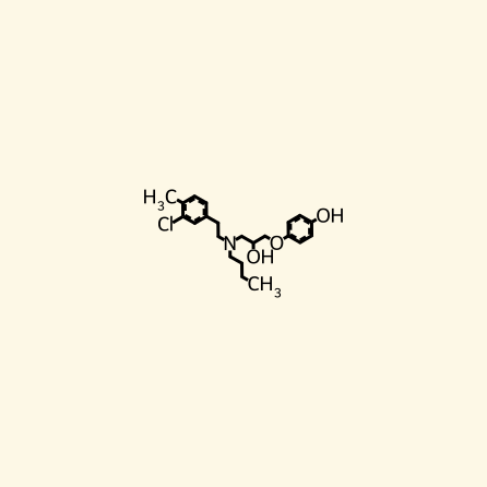 CCCCN(CCc1ccc(C)c(Cl)c1)CC(O)COc1ccc(O)cc1